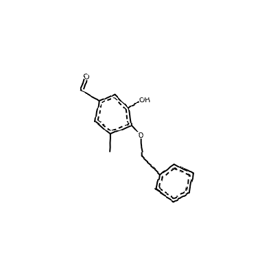 Cc1cc(C=O)cc(O)c1OCc1ccccc1